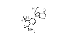 CNc1cc(-c2nc(C)c3n2CCCC3=O)ccc1C(N)=O